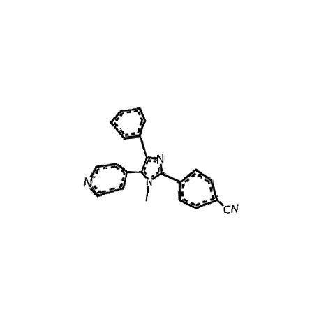 Cn1c(-c2ccc(C#N)cc2)nc(-c2ccccc2)c1-c1ccncc1